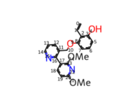 C=Cc1c(O)cccc1OCc1cccnc1-c1ccc(OC)nc1OC